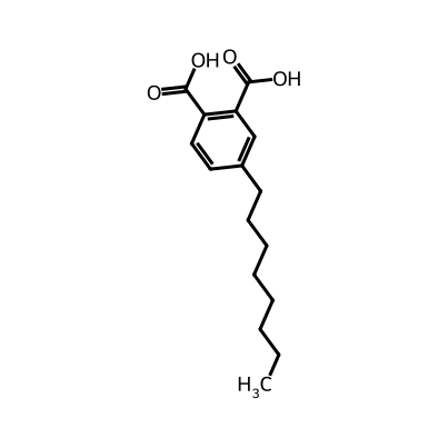 CCCCCCCCc1ccc(C(=O)O)c(C(=O)O)c1